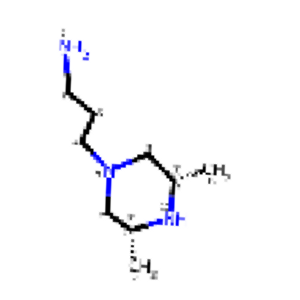 C[C@@H]1CN(CCCN)C[C@H](C)N1